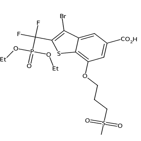 CCOP(=O)(OCC)C(F)(F)c1sc2c(OCCCS(C)(=O)=O)cc(C(=O)O)cc2c1Br